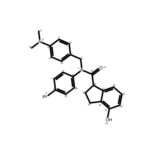 CC(C)c1ccc(N(Cc2ccc(N(C)C)cc2)C(=O)C2CCc3c(O)cccc32)cc1